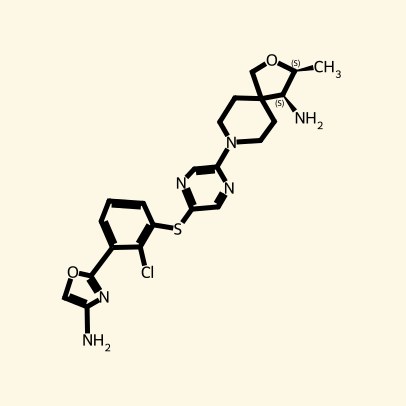 C[C@@H]1OCC2(CCN(c3cnc(Sc4cccc(-c5nc(N)co5)c4Cl)cn3)CC2)[C@@H]1N